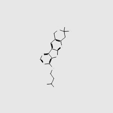 CC(C)CCNc1ncnc2c1sc1nc3c(cc12)COC(C)(C)C3